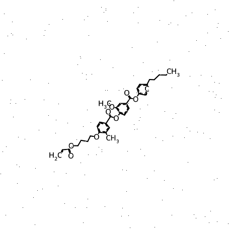 C=CC(=O)OCCCCOc1ccc(C(=O)Oc2ccc(C(=O)Oc3ccc(CCCCC)cc3)cc2OC)cc1C